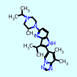 Cc1c(-c2[nH]c3ccc(N4CCN(C(C)C)C[C@H]4C)nc3c2C(C)C)cn2ncnc2c1C